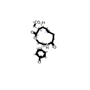 O=C(O)C[C@@H]1C/C=C/CCC(=O)N[C@H](c2ccc(Cl)cc2)COC1=O